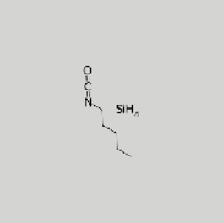 CCCCCN=C=O.[SiH4]